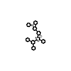 c1ccc(-c2cc(-c3ccccc3)cc(-c3nc(-c4ccccc4)c4oc5ccc(-c6ccc7c(c6)c6ccccc6n7-c6ccccc6)cc5c4n3)c2)cc1